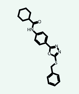 O=C(Nc1ccc(-c2nnc(SCc3ccccc3)o2)cc1)C1CCCCC1